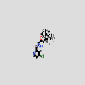 CC[Si](OCCNC(=O)c1cc(Cl)ccn1)(C(C)C)C(C)C